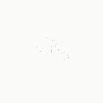 Nc1nc(Cl)c(-c2cc3cc(CO)ncc3o2)c(N[C@@H]2C[C@H](CO)[C@@H](O)[C@H]2O)n1